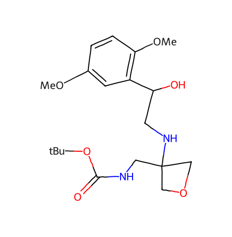 COc1ccc(OC)c(C(O)CNC2(CNC(=O)OC(C)(C)C)COC2)c1